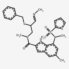 C=S(=O)(c1cccs1)N(C)c1cc(C)cc2cc(C(=O)N(C)CC(/C=N/C)SCc3ccccc3)[nH]c12